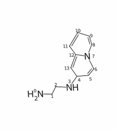 NCCNC1C=CN2C=CC=CC2=C1